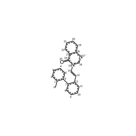 Cc1ccccc1-c1ccccc1C=Cn1cnc2ccccc2c1=O